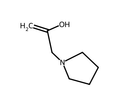 C=C(O)CN1CCCC1